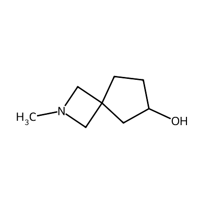 CN1CC2(CCC(O)C2)C1